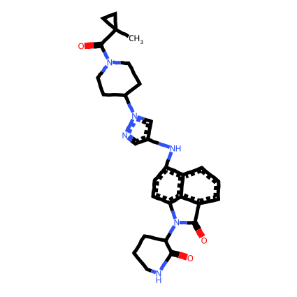 CC1(C(=O)N2CCC(n3cc(Nc4ccc5c6c(cccc46)C(=O)N5C4CCCNC4=O)cn3)CC2)CC1